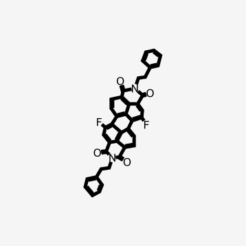 O=C1c2ccc3c4c(F)cc5c6c(ccc(c7c(F)cc(c2c37)C(=O)N1CCc1ccccc1)c64)C(=O)N(CCc1ccccc1)C5=O